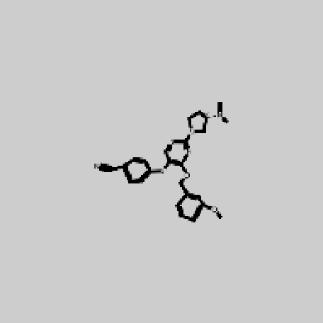 COc1cccc(COc2nc(N3CC[C@H](N(C)C)C3)ncc2Sc2ccc(C#N)cc2)c1